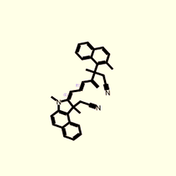 C=C(/C=C/C=C1/N(C)c2ccc3ccccc3c2C1(C)CC#N)C(C)(CC#N)c1c(C)ccc2ccccc12